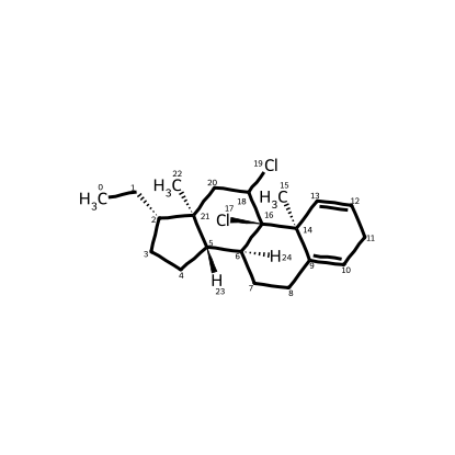 CC[C@H]1CC[C@H]2[C@@H]3CCC4=CCC=C[C@]4(C)[C@@]3(Cl)C(Cl)C[C@]12C